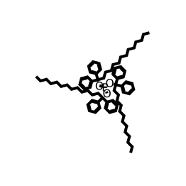 CCCCCCCCCCCCCC(OP(OC(CCCCCCCCCCCCC)(c1ccccc1)c1ccccc1)OC(CCCCCCCCCCCCC)(c1ccccc1)c1ccccc1)(c1ccccc1)c1ccccc1